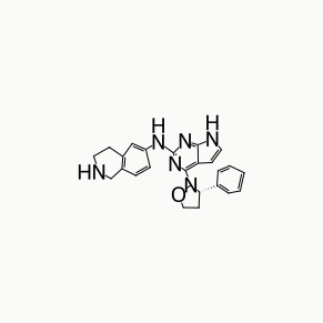 c1ccc([C@@H]2CCON2c2nc(Nc3ccc4c(c3)CCNC4)nc3[nH]ccc23)cc1